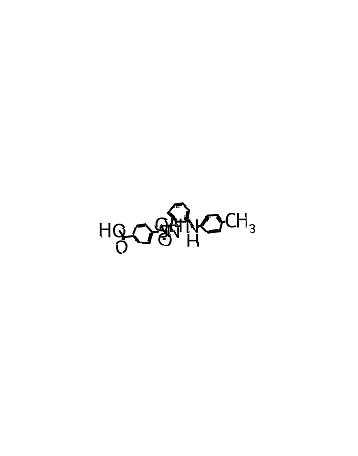 Cc1ccc(Nc2ccccc2N=S(=O)(O)c2ccc(C(=O)O)cc2)cc1